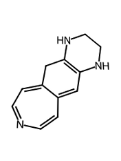 C1=CC2=CC3=C(CC2=CC=N1)NCCN3